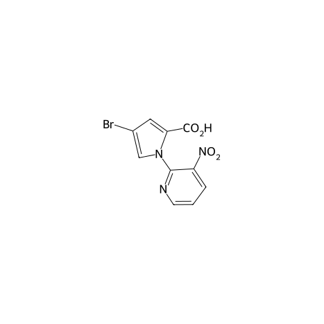 O=C(O)c1cc(Br)cn1-c1ncccc1[N+](=O)[O-]